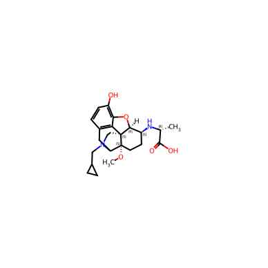 CO[C@@]12CC[C@H](N[C@H](C)C(=O)O)[C@@H]3Oc4c(O)ccc5c4[C@@]31CCN(CC1CC1)C2C5